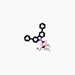 CC(C)(C)OC(=O)n1c2ccc(-c3ccccc3)cc2c2cc(-c3ccccc3)ccc21